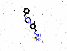 Cc1cc(C=NNC(N)=S)ccc1N1CCN(Cc2ccccc2)CC1